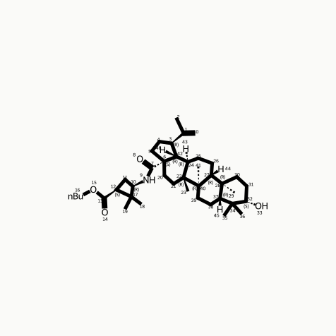 C=C(C)[C@@H]1CC[C@]2(C(=O)N[C@@H]3C[C@H](C(=O)OCCCC)C3(C)C)CC[C@]3(C)[C@H](CC[C@@H]4[C@@]5(C)CC[C@H](O)C(C)(C)[C@@H]5CC[C@]43C)[C@@H]12